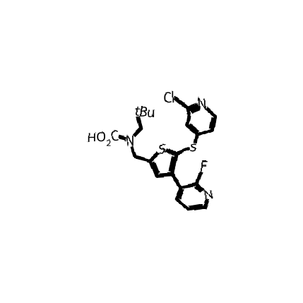 CC(C)(C)CN(Cc1cc(-c2cccnc2F)c(Sc2ccnc(Cl)c2)s1)C(=O)O